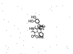 COC(=O)C1=C(C)NC(C)=C(C(=O)OC)C1c1ccccc1-c1nc(-c2ccc(O)c(O)c2)cs1